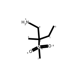 CCC(C)(CN)S(C)(=O)=O